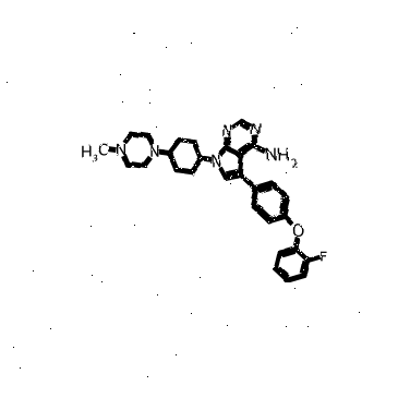 CN1CCN(C2CCC(n3cc(-c4ccc(Oc5ccccc5F)cc4)c4c(N)ncnc43)CC2)CC1